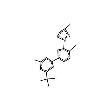 Cc1cc(-c2ccc(C)c(-n3ccc(C)n3)c2)cc(C(C)(C)C)c1